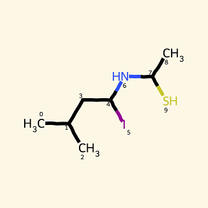 CC(C)CC(I)NC(C)S